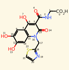 O=C(O)CNC(=O)c1c(O)c2cc(O)c(O)cc2n(Cc2nccs2)c1=O